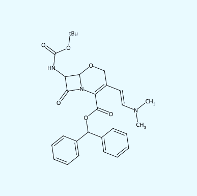 CN(C)C=CC1=C(C(=O)OC(c2ccccc2)c2ccccc2)N2C(=O)C(NC(=O)OC(C)(C)C)C2OC1